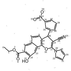 CCOC(=O)c1cc2ccc3c(c2cc1O)OC(n1cccc1)=C(C#N)C3c1cccc([N+](=O)[O-])c1